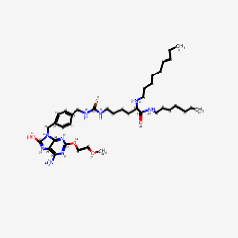 CCCCCCCCCNC(CCCCNC(=S)NCc1ccc(Cn2c(O)nc3c(N)nc(OCCOC)nc32)cc1)C(=O)NCCCCCCC